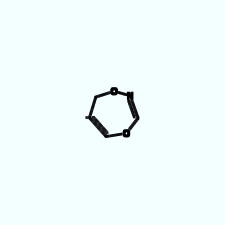 [C]1=COC=NOC1